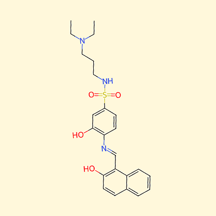 CCN(CC)CCCNS(=O)(=O)c1ccc(N=Cc2c(O)ccc3ccccc23)c(O)c1